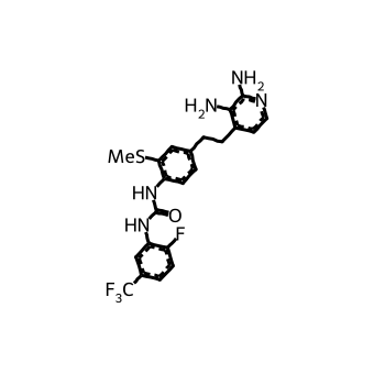 CSc1cc(CCc2ccnc(N)c2N)ccc1NC(=O)Nc1cc(C(F)(F)F)ccc1F